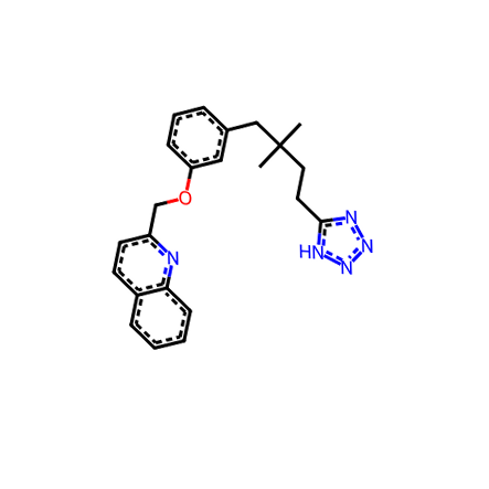 CC(C)(CCc1nnn[nH]1)Cc1cccc(OCc2ccc3ccccc3n2)c1